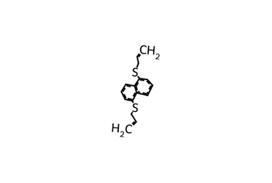 C=CCSc1cccc2c(SCC=C)cccc12